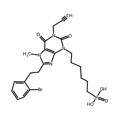 C#CCn1c(=O)c2c(nc(CCc3ccccc3Br)n2C)n(CCCCCCP(=O)(O)O)c1=O